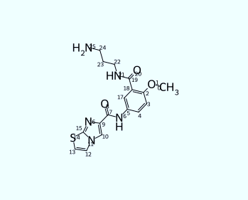 COc1ccc(NC(=O)c2cn3ccsc3n2)cc1C(=O)NCCCN